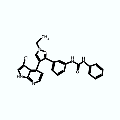 CCn1cc(-c2ccnc3[nH]cc(Cl)c23)c(-c2cccc(NC(=O)Nc3ccccc3)c2)n1